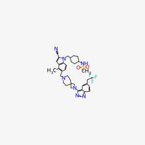 Cc1c(CN2CCC3(CC2)CN(c2ncnc4ccc(CC(F)(F)F)cc24)C3)ccc2c1cc(C#N)n2CC1CCC(NS(C)(=O)=O)CC1